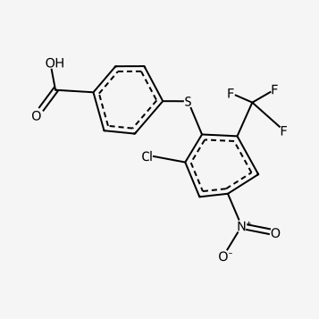 O=C(O)c1ccc(Sc2c(Cl)cc([N+](=O)[O-])cc2C(F)(F)F)cc1